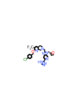 FC(F)(F)c1cc2c(nc1OCc1ccc(Cl)cc1)CN(Cc1nc3cc(-c4nnc[nH]4)ncc3n1C[C@@H]1CCO1)CC2